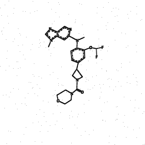 CN(c1cc2c(cn1)ncn2C)c1ccc(C2CN(C(=O)N3CCOCC3)C2)cc1OC(F)F